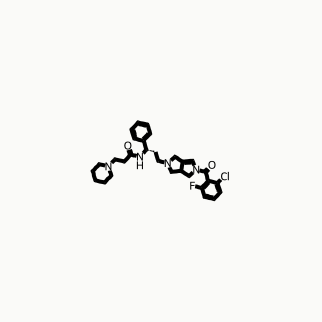 O=C(CCN1CCCCC1)N[C@@H](CCN1CC2=CN(C(=O)c3c(F)cccc3Cl)CC2C1)c1ccccc1